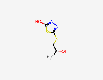 CC(O)CSc1nnc(O)s1